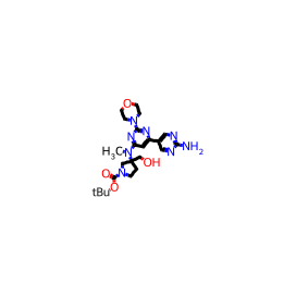 CN(c1cc(-c2cnc(N)nc2)nc(N2CCOCC2)n1)C1(CO)CCN(C(=O)OC(C)(C)C)C1